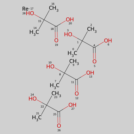 CC(C)(O)C(=O)O.CC(C)(O)C(=O)O.CC(C)(O)C(=O)O.CC(C)(O)C(=O)O.[Re]